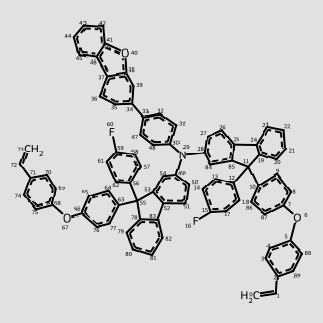 C=Cc1ccc(Oc2ccc(C3(c4ccc(F)cc4)c4ccccc4-c4ccc(N(c5ccc(-c6ccc7c(c6)oc6ccccc67)cc5)c5ccc6c(c5)C(c5ccc(F)cc5)(c5ccc(Oc7ccc(C=C)cc7)cc5)c5ccccc5-6)cc43)cc2)cc1